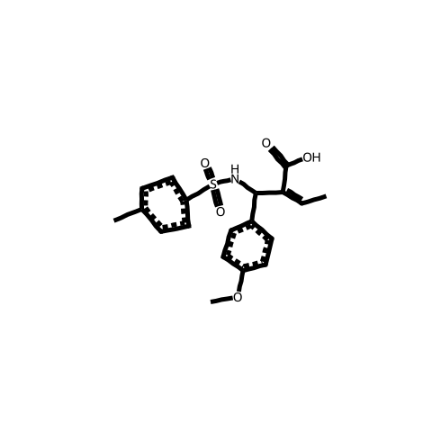 CC=C(C(=O)O)C(NS(=O)(=O)c1ccc(C)cc1)c1ccc(OC)cc1